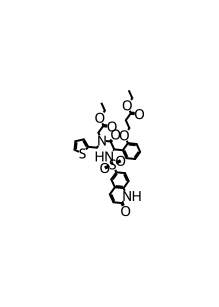 CCOC(=O)CCOc1ccccc1[C@H](NS(=O)(=O)c1ccc2[nH]c(=O)ccc2c1)C(=O)N(CC(=O)OCC)Cc1cccs1